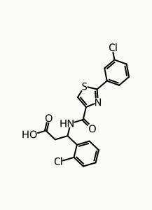 O=C(O)CC(NC(=O)c1csc(-c2cccc(Cl)c2)n1)c1ccccc1Cl